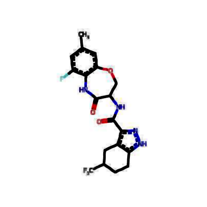 Cc1cc(F)c2c(c1)OCC(NC(=O)c1n[nH]c3c1CC(C(F)(F)F)CC3)C(=O)N2